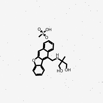 CC(CO)(CO)NCc1c2ccccc2cc2oc3ccccc3c12.CS(=O)(=O)O